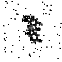 O=C(O)Nc1ccc(F)c(C(=O)c2c[nH]c3ncc(Br)cc23)c1F